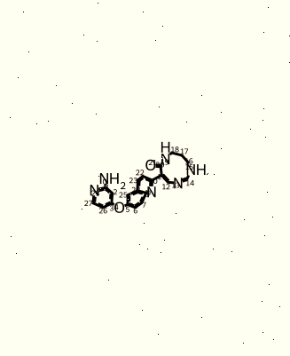 Nc1cc(Oc2ccc3nc(/C4=C/N=C\NCCCNC4=O)ccc3c2)ccn1